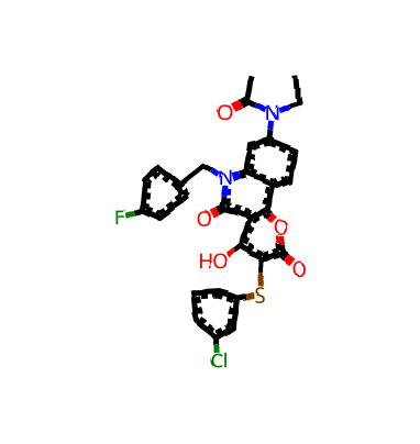 CCN(C(C)=O)c1ccc2c3oc(=O)c(Sc4cccc(Cl)c4)c(O)c3c(=O)n(Cc3ccc(F)cc3)c2c1